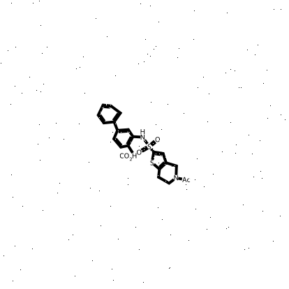 CC(=O)N1CCc2sc(S(=O)(=O)Nc3cc(-c4ccccc4)ccc3C(=O)O)cc2C1